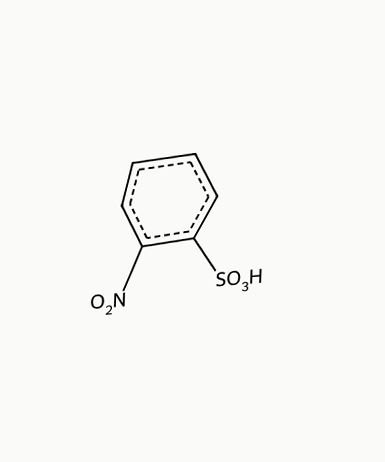 O=[N+]([O-])c1ccccc1S(=O)(=O)O